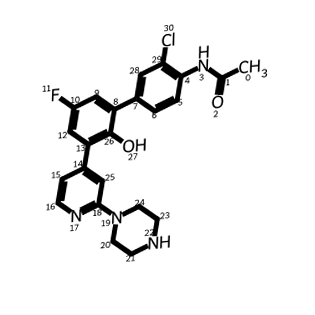 CC(=O)Nc1ccc(-c2cc(F)cc(-c3ccnc(N4CCNCC4)c3)c2O)cc1Cl